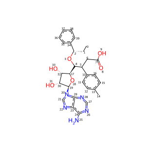 CC[C@H](OC(C(CC(=O)O)c1ccc(C)cc1)[C@H]1O[C@@H](n2cnc3c(N)ncnc32)[C@H](O)[C@@H]1O)c1ccccc1